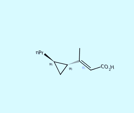 CCC[C@@H]1C[C@H]1/C(C)=C/C(=O)O